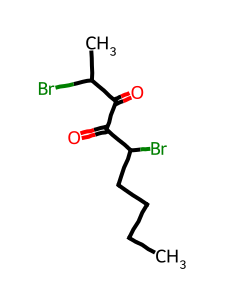 CCCCC(Br)C(=O)C(=O)C(C)Br